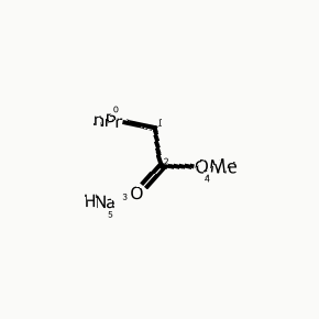 CCCCC(=O)OC.[NaH]